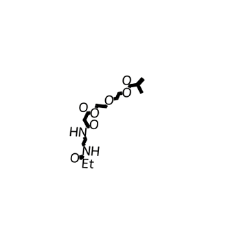 C=C(C)C(=O)OCCOCCOC(=O)CC(=O)NCCNC(=O)CC